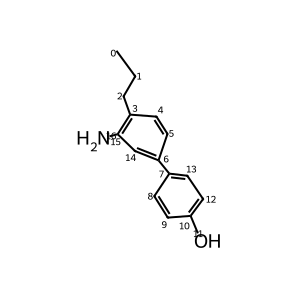 CCCc1ccc(-c2ccc(O)cc2)cc1N